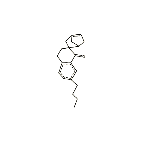 CCCCc1ccc2c(c1)C(=O)C1(CC2)CC2=CCC1C2